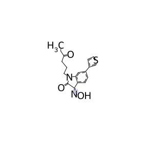 CCC(=O)CCCN1C(=O)/C(=N/O)c2ccc(-c3ccsc3)cc21